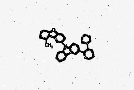 Cc1cccc2oc3ccc(-n4c5ccccc5c5cc(-c6ccccc6-c6ccccc6)ccc54)cc3c12